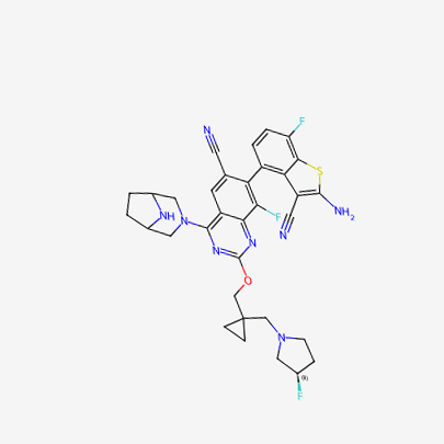 N#Cc1cc2c(N3CC4CCC(C3)N4)nc(OCC3(CN4CC[C@@H](F)C4)CC3)nc2c(F)c1-c1ccc(F)c2sc(N)c(C#N)c12